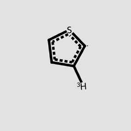 [3H]c1[c]scc1